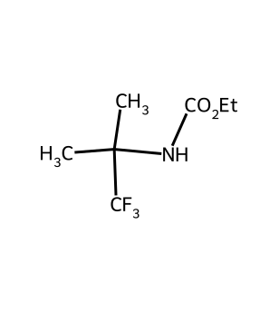 CCOC(=O)NC(C)(C)C(F)(F)F